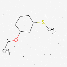 CCOC1CCCC(SC)C1